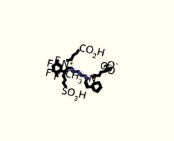 CC1(CCCCS(=O)(=O)O)C(/C=C/C=C/C=C2\C=Cc3ccccc3N2CCCCS(=O)(=O)[O-])=[N+](CCCCCC(=O)O)c2c(F)c(F)c(F)c(F)c21